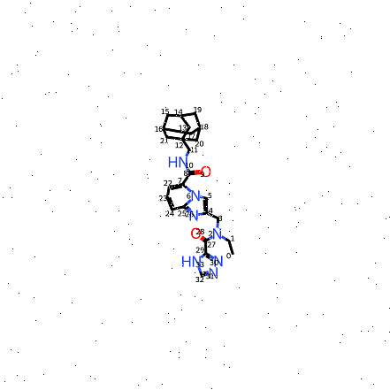 CCN(Cc1cn2c(C(=O)NCC34CC5CC(CC(C5)C3)C4)cccc2n1)C(=O)c1nnc[nH]1